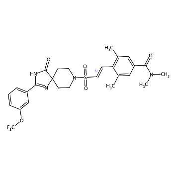 Cc1cc(C(=O)N(C)C)cc(C)c1/C=C/S(=O)(=O)N1CCC2(CC1)N=C(c1cccc(OC(F)(F)F)c1)NC2=O